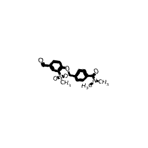 CN(C)C(=O)c1ccc(COc2ccc(C=O)cc2S(C)(=O)=O)cc1